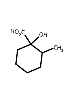 CC1CCCCC1(O)C(=O)O